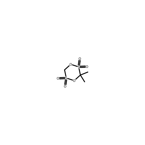 CC1(C)OS(=O)(=O)COS1(=O)=O